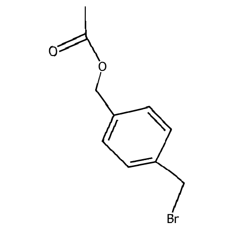 CC(=O)OCc1ccc(CBr)cc1